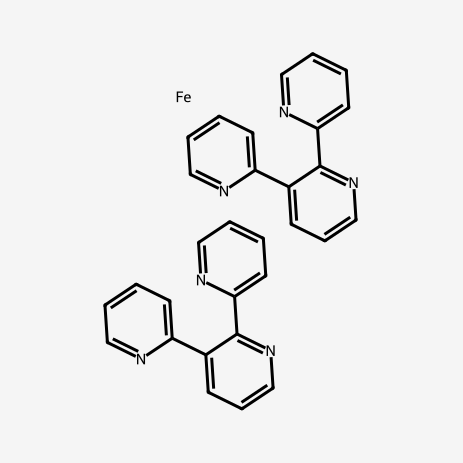 [Fe].c1ccc(-c2cccnc2-c2ccccn2)nc1.c1ccc(-c2cccnc2-c2ccccn2)nc1